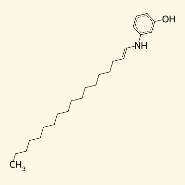 CCCCCCCCCCCCCCCCC=CNc1cccc(O)c1